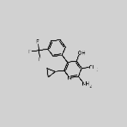 Cc1c(N)nc(C2CC2)c(-c2cccc(C(F)(F)F)c2)c1O